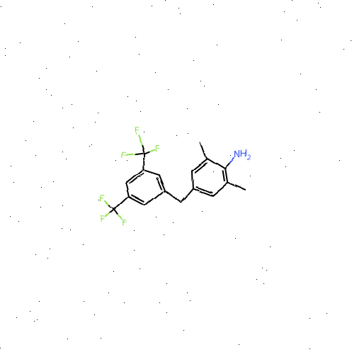 Cc1cc(Cc2cc(C(F)(F)F)cc(C(F)(F)F)c2)cc(C)c1N